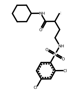 [C]C(CCNS(=O)(=O)c1ccc(Cl)cc1Cl)C(=O)NC1CCCCC1